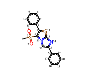 CS(=O)(=O)c1c(-c2ccccc2)sc2nc(-c3ccccc3)cn12